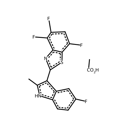 CC(=O)O.Cc1[nH]c2ccc(F)cc2c1-c1nc2c(F)c(F)cc(F)c2s1